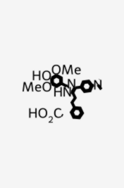 CC(=O)O.COc1cc(-c2nc(-c3ccc(N(C)C)cc3)c(CCc3ccccc3)[nH]2)cc(OC)c1O